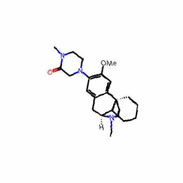 COc1cc2c(cc1N1CCN(C)C(=O)C1)C[C@H]1C3CCCC[C@@]23CCN1C